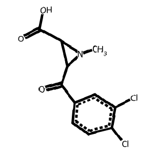 CN1C(C(=O)O)C1C(=O)c1ccc(Cl)c(Cl)c1